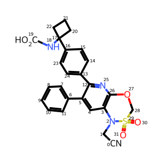 N#CCN1c2cc(-c3ccccc3)c(-c3ccc(C4(NC(=O)O)CCC4)cc3)nc2OCS1(=O)=O